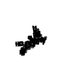 Nc1nc(/C(=N\OC(F)F)C(=O)NC2C(=O)N3C(C(=O)O)=C(CSc4cnns4)CS[C@H]23)cs1